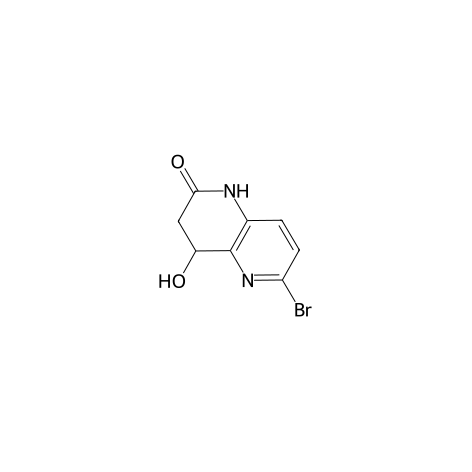 O=C1CC(O)c2nc(Br)ccc2N1